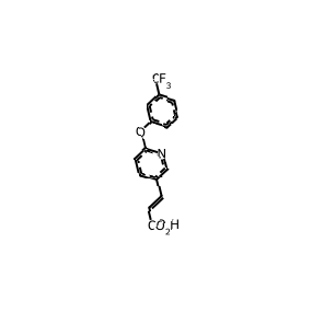 O=C(O)C=Cc1ccc(Oc2cccc(C(F)(F)F)c2)nc1